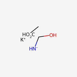 CC(=O)O.[K+].[NH-]CO